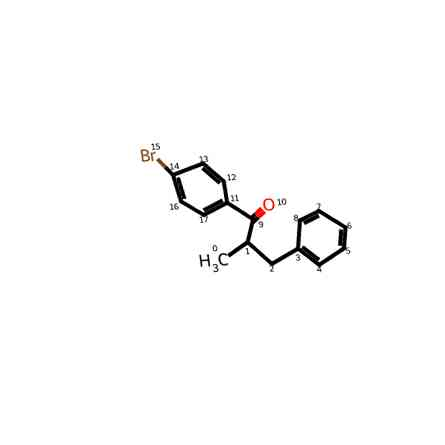 CC(Cc1ccccc1)C(=O)c1ccc(Br)cc1